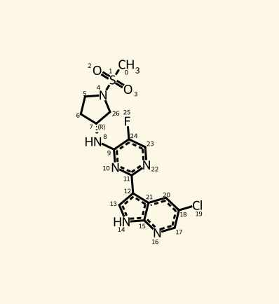 CS(=O)(=O)N1CC[C@@H](Nc2nc(-c3c[nH]c4ncc(Cl)cc34)ncc2F)C1